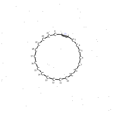 [CH]1/C=C\CCCCCCCCCCCCCCCCCCC1